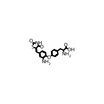 Nc1cc(C=C2SC(=O)NC2=O)ccc1Oc1ccc(CC(N)C(=O)O)cc1